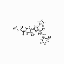 CC(C)CC(=O)Nc1ccc(-c2cc(C3CCCC3)n(C(=O)NCc3ccccc3Cl)n2)c(O)c1